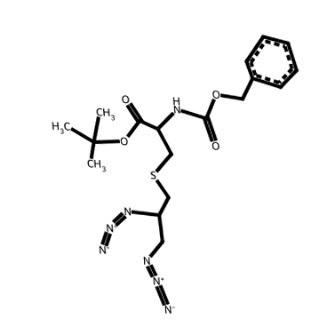 CC(C)(C)OC(=O)C(CSCC(CN=[N+]=[N-])N=[N+]=[N-])NC(=O)OCc1ccccc1